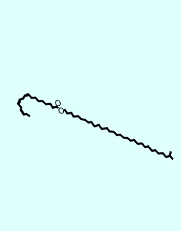 CC/C=C\C/C=C\C/C=C\CCCCCCCC(=O)OCCCCCCCCCCCCCCCCCCCCCCCCCCCCCCC(C)C